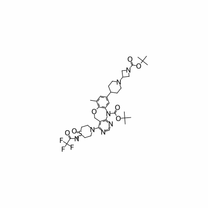 Cc1cc(C2CCN(C3CN(C(=O)OC(C)(C)C)C3)CC2)cc2c1OCc1c(N3CCS(=O)(=NC(=O)C(F)(F)F)CC3)ncnc1N2C(=O)OC(C)(C)C